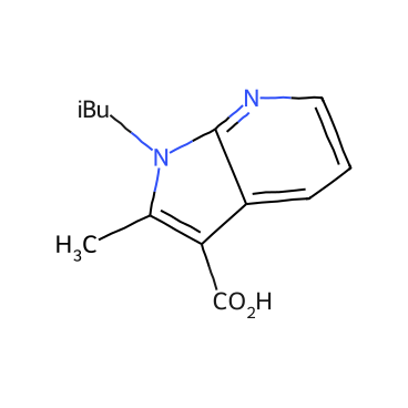 CCC(C)n1c(C)c(C(=O)O)c2cccnc21